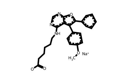 COc1ccc(-c2c(-c3ccccc3)oc3ncnc(NCCCCCC(=O)[O-])c23)cc1.[Na+]